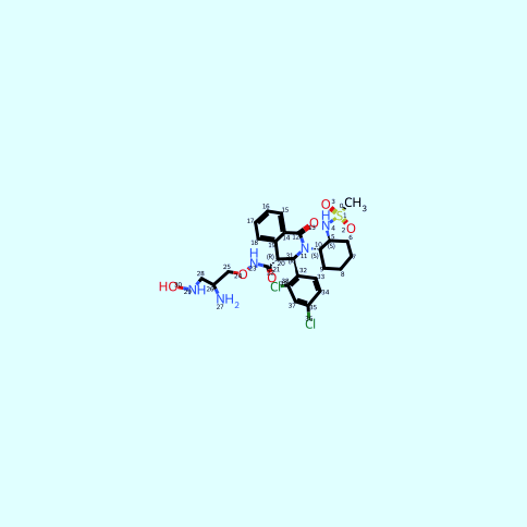 CS(=O)(=O)N[C@H]1CCCC[C@@H]1N1C(=O)c2ccccc2[C@@H](C(=O)NOCC(N)CNO)[C@@H]1c1ccc(Cl)cc1Cl